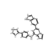 c1cn2cc(-c3ccc4cn[nH]c4c3)nc(Nc3ccc(-c4nn[nH]n4)cc3)c2n1